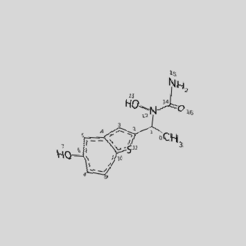 CC(c1cc2cc(O)ccc2s1)N(O)C(N)=O